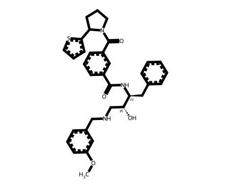 COc1cccc(CNC[C@@H](O)[C@H](Cc2ccccc2)NC(=O)c2cccc(C(=O)N3CCCC3c3cccs3)c2)c1